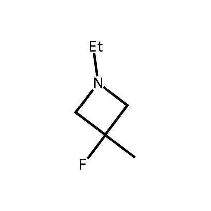 CCN1CC(C)(F)C1